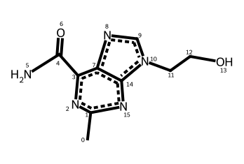 Cc1nc(C(N)=O)c2ncn(CCO)c2n1